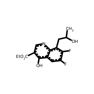 CCOC(=O)c1cnc2c(CC(C)O)c(F)c(F)cc2c1O